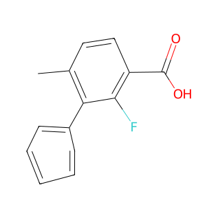 Cc1ccc(C(=O)O)c(F)c1-c1ccccc1